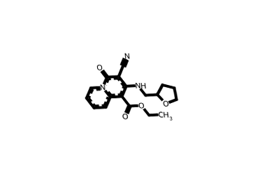 CCOC(=O)c1c(NCC2CCCO2)c(C#N)c(=O)n2ccccc12